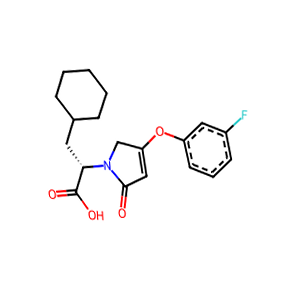 O=C(O)[C@H](CC1CCCCC1)N1CC(Oc2cccc(F)c2)=CC1=O